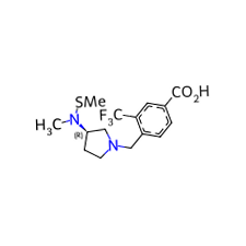 CSN(C)[C@@H]1CCN(Cc2ccc(C(=O)O)cc2C(F)(F)F)C1